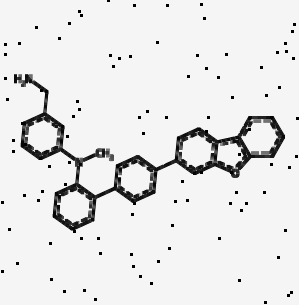 CN(c1cccc(CN)c1)c1ccccc1-c1ccc(-c2ccc3c(c2)oc2ccccc23)cc1